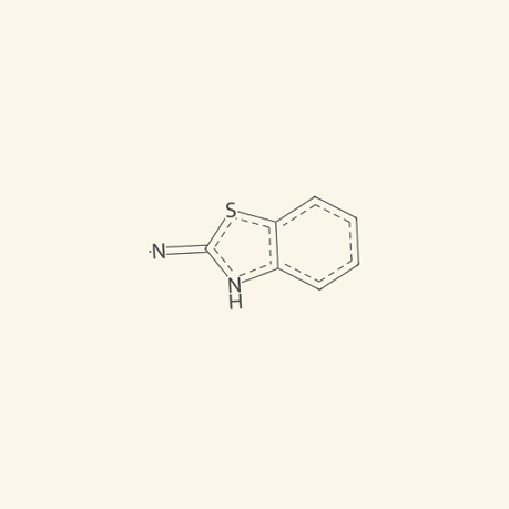 [N]=c1[nH]c2ccccc2s1